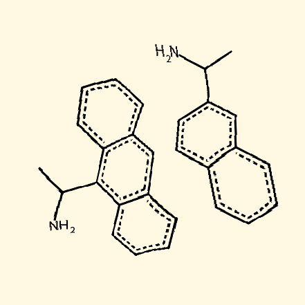 CC(N)c1c2ccccc2cc2ccccc12.CC(N)c1ccc2ccccc2c1